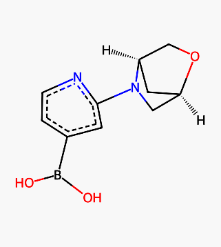 OB(O)c1ccnc(N2C[C@H]3C[C@@H]2CO3)c1